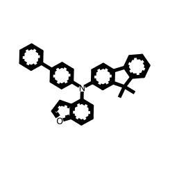 CC1(C)c2ccccc2-c2ccc(N(c3ccc(-c4ccccc4)cc3)c3cccc4occc34)cc21